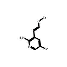 CCO/C=C/c1cc(Br)cnc1N